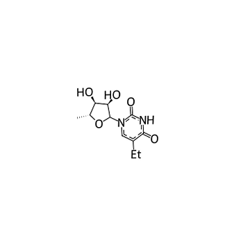 CCc1cn(C2O[C@H](C)[C@@H](O)[C@H]2O)c(=O)[nH]c1=O